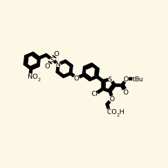 CC(C)(C)OC(=O)c1sc(-c2cccc(OC3CCN(S(=O)(=O)Cc4cccc([N+](=O)[O-])c4)CC3)c2)c(Cl)c1OCC(=O)O